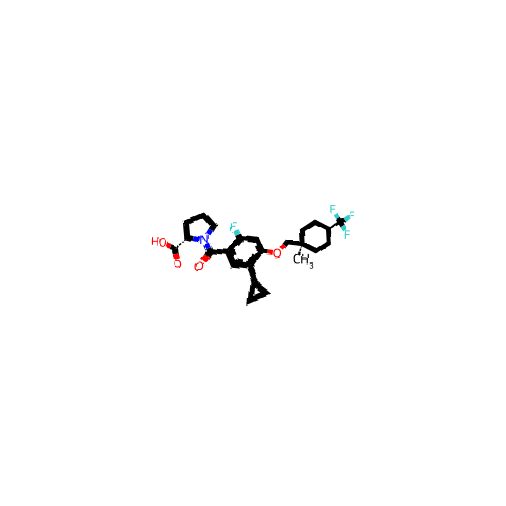 C[C@]1(COc2cc(F)c(C(=O)N3CCC[C@H]3C(=O)O)cc2C2CC2)CC[C@@H](C(F)(F)F)CC1